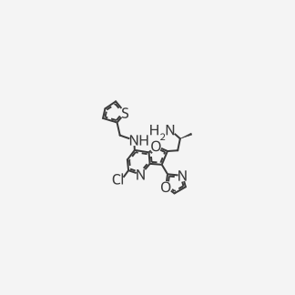 C[C@H](N)Cc1oc2c(NCc3cccs3)cc(Cl)nc2c1-c1ncco1